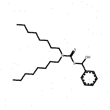 CCCCCCCCN(CCCCCCCC)C(=S)SC(O)c1ccccc1